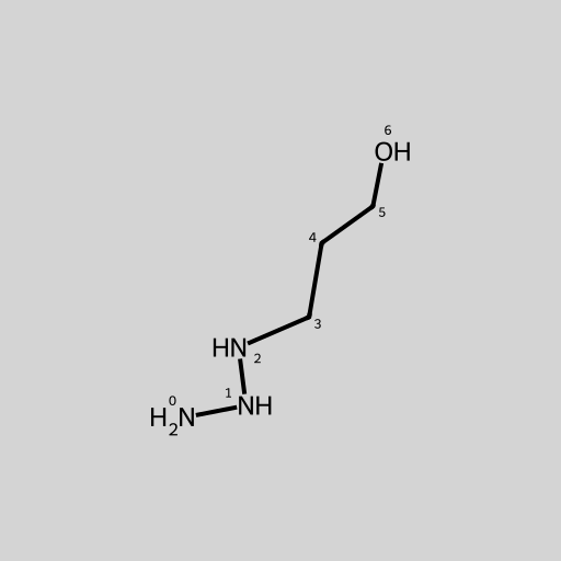 NNNCCCO